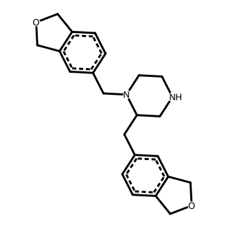 c1cc2c(cc1CC1CNCCN1Cc1ccc3c(c1)COC3)COC2